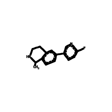 CC1NCCc2cc(-c3ccc(F)nc3)ccc21